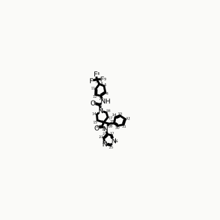 O=C(NC1=CCC(C(F)(F)F)C=C1)N1CCC2(CC1)C(=O)N(c1cncnc1)C2c1ccccc1